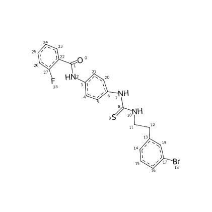 O=C(Nc1ccc(NC(=S)NCCc2cccc(Br)c2)cc1)c1ccccc1F